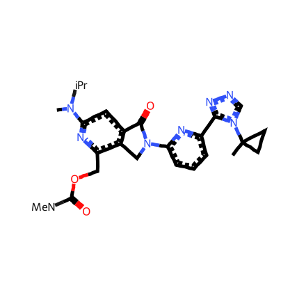 CNC(=O)OCc1nc(N(C)C(C)C)cc2c1CN(c1cccc(-c3nncn3C3(C)CC3)n1)C2=O